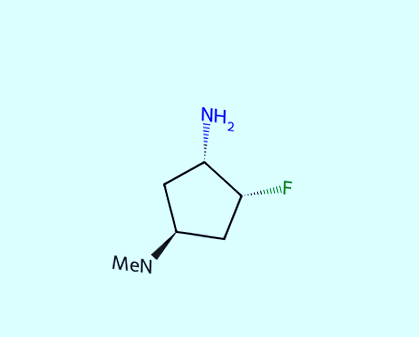 CN[C@@H]1C[C@@H](F)[C@@H](N)C1